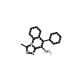 Cc1nnc2c(N)c(-c3ccccc3)c3ccccc3n12